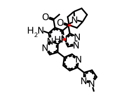 CC(=O)c1c(C2CC3CCC(C2)N3C(=O)c2nnc[nH]2)nc2c(-c3ccc(-c4ccn(C)n4)nc3)cnn2c1N